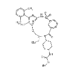 Cc1cccc(C)c1-c1nc2nc(c1C)OC[C@@H](CC(C)(C)C)N(C1CCC(NC(=O)OC(C)C)CC1)C(=O)c1cccc(c1)S(=O)(=O)N2